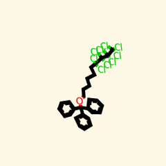 ClC(Cl)(Cl)C(Cl)(Cl)C(Cl)(Cl)C(Cl)(Cl)CCCCCCOC(c1ccccc1)(c1ccccc1)c1ccccc1